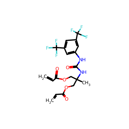 C=CC(=O)OCC(C)(COC(=O)C=C)NC(=O)Nc1cc(C(F)(F)F)cc(C(F)(F)F)c1